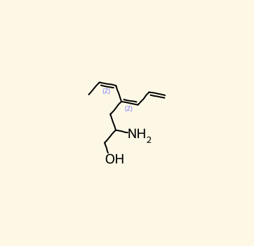 C=C/C=C(\C=C/C)CC(N)CO